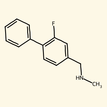 CNCc1ccc(-c2ccccc2)c(F)c1